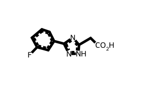 O=C(O)Cc1nc(-c2cccc(F)c2)n[nH]1